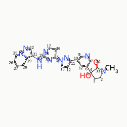 CN1CC[C@@](O)(c2cncc(-c3ccn(-c4ccnc(Nc5cnn6ccccc56)n4)n3)c2)C1=O